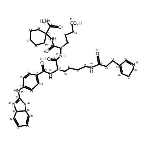 NC(=O)C1(NC(=O)[C@@H](CCCC(=O)O)NC(=O)[C@@H](CCCCNC(=O)CCC2=CCCN=C2)NC(=O)c2ccc(NC3=NC4C=CC=CC4S3)cc2)CCCCC1